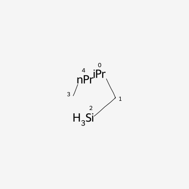 CC(C)C[SiH3].CCCC